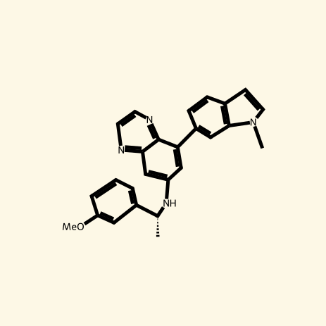 COc1cccc([C@@H](C)Nc2cc(-c3ccc4ccn(C)c4c3)c3nccnc3c2)c1